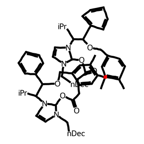 CCCCCCCCCCCN1C=CN(C(C(C)C)C(OCc2ccc(C)c(C)c2)c2ccccc2)C1OC(=O)CCC(=O)OC1N(CCCCCCCCCCC)C=CN1C(C(C)C)C(OCc1ccc(C)c(C)c1)c1ccccc1